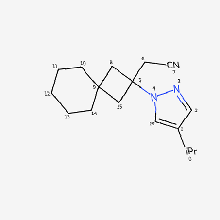 CC(C)c1cnn(C2(CC#N)CC3(CCCCC3)C2)c1